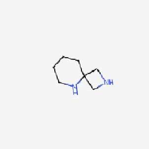 C1CCC2(CNC2)NC1